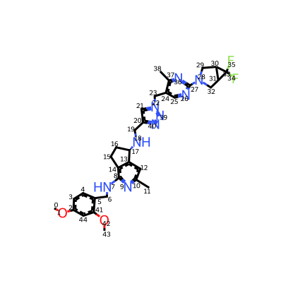 COc1ccc(CNc2nc(C)cc3c2CC[C@H]3NCc2cn(Cc3cnc(N4CC5C(C4)C5(F)F)nc3C)nn2)c(OC)c1